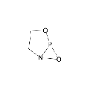 C1Cn2op2O1